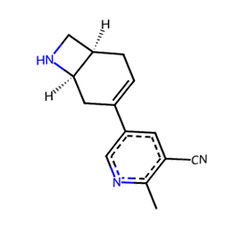 Cc1ncc(C2=CC[C@@H]3CN[C@@H]3C2)cc1C#N